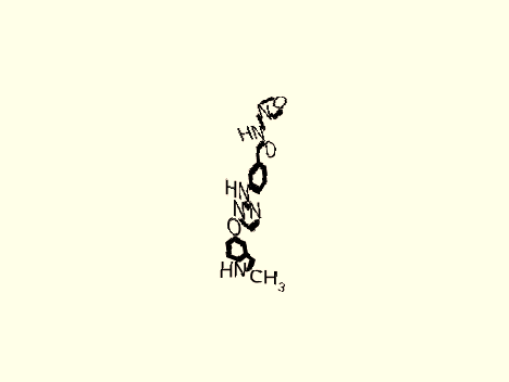 Cc1cc2cc(Oc3ccnc(Nc4cccc(CC(=O)NCCN5CCOCC5)c4)n3)ccc2[nH]1